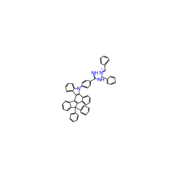 N=C(NC(/N=C/c1ccccc1)c1ccccc1)c1ccc(-n2c3ccccc3c3c4c(c5ccccc5c32)C(c2ccccc2)(c2ccccc2)c2ccccc2-4)cc1